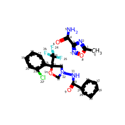 Cc1nc(C(N)=O)no1.O=C(NN1COC(c2ccccc2Cl)(C(F)(F)F)C1)c1ccccc1